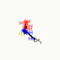 CC(=S)NCCCCCCNc1nc(S)c2ncn([C@@H]3O[C@H](COP(=O)(O)O)C(O)C3O)c2n1